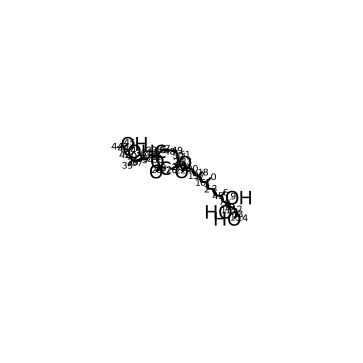 CC(=C\C=C\C(C)=C\[C@H](O)[C@@H](O)C[C@H](C)O)/C=C(C)/C=C/C(=O)O[C@H]1CCCC(=O)OC([C@@H](C)C/C(C)=C/[C@@H](C)[C@H](O)C[C@@H](C)O)C/C=C/C[C@@H]1C